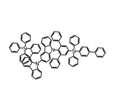 c1ccc(-c2ccc([Si](c3ccccc3)(c3ccccc3)c3cc(-c4ccccc4)c(-n4c5ccccc5c5cc(-n6c7ccccc7c7cccc(-c8ccccc8[Si](c8ccccc8)(c8ccccc8)c8ccccc8)c76)ccc54)c(-c4ccccc4)c3)cc2)cc1